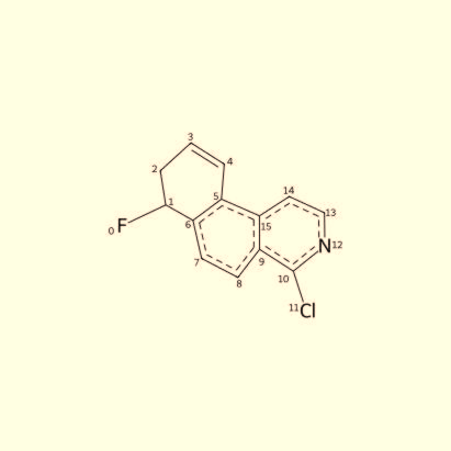 FC1CC=Cc2c1ccc1c(Cl)nccc21